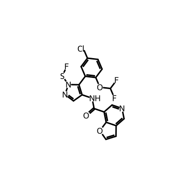 O=C(Nc1cnn(SF)c1-c1cc(Cl)ccc1OC(F)F)c1cncc2ccoc12